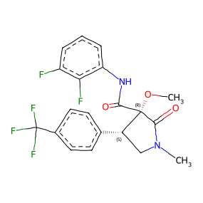 CO[C@]1(C(=O)Nc2cccc(F)c2F)C(=O)N(C)C[C@@H]1c1ccc(C(F)(F)F)cc1